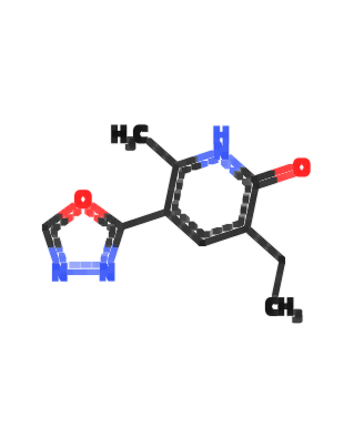 CCc1cc(-c2nnco2)c(C)[nH]c1=O